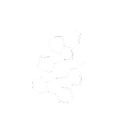 C=CC1=C(/C=C\C)c2ccccc2C12c1ccccc1C1(c3ccccc3-c3ccccc31)c1ccccc12